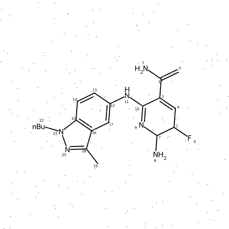 C=C(N)C1=CC(F)C(N)N=C1Nc1ccc2c(c1)c(C)nn2CCCC